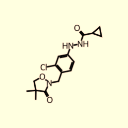 CC1(C)CON(Cc2ccc(NNC(=O)C3CC3)cc2Cl)C1=O